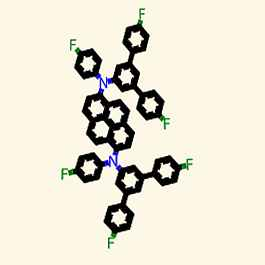 Fc1ccc(-c2cc(-c3ccc(F)cc3)cc(N(c3ccc(F)cc3)c3ccc4ccc5c(N(c6ccc(F)cc6)c6cc(-c7ccc(F)cc7)cc(-c7ccc(F)cc7)c6)ccc6ccc3c4c65)c2)cc1